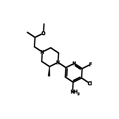 COC(C)CN1CCN(c2cc(N)c(Cl)c(F)n2)[C@@H](C)C1